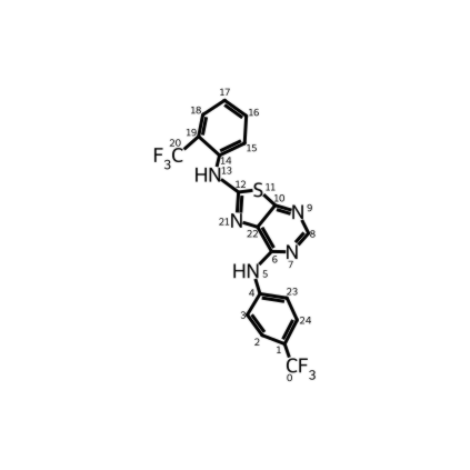 FC(F)(F)c1ccc(Nc2ncnc3sc(Nc4ccccc4C(F)(F)F)nc23)cc1